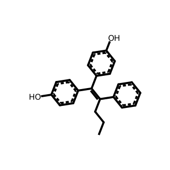 CCCC(=C(c1ccc(O)cc1)c1ccc(O)cc1)c1ccccc1